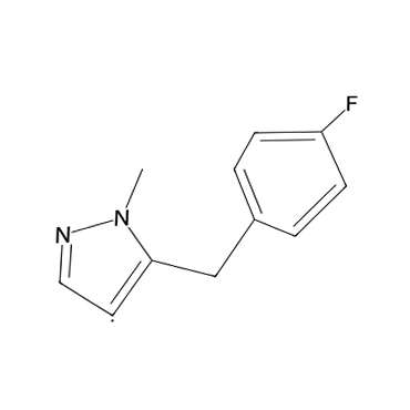 Cn1nc[c]c1Cc1ccc(F)cc1